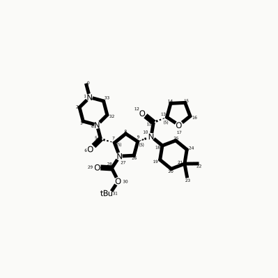 CN1CCN(C(=O)[C@@H]2C[C@H](N(C(=O)[C@@H]3CCCO3)C3CCC(C)(C)CC3)CN2C(=O)OC(C)(C)C)CC1